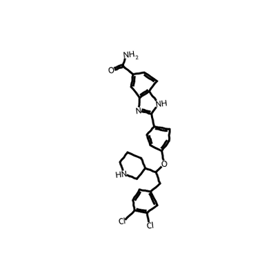 NC(=O)c1ccc2[nH]c(-c3ccc(OC(Cc4ccc(Cl)c(Cl)c4)C4CCCNC4)cc3)nc2c1